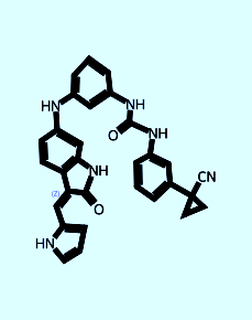 N#CC1(c2cccc(NC(=O)Nc3cccc(Nc4ccc5c(c4)NC(=O)/C5=C\c4ccc[nH]4)c3)c2)CC1